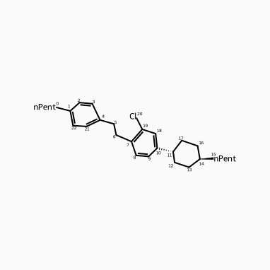 CCCCCc1ccc(CCc2ccc([C@H]3CC[C@H](CCCCC)CC3)cc2Cl)cc1